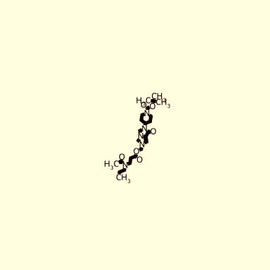 CCCN(CCC(=O)OCN1C=C2C(=O)N(C3CCN(C(=O)OC(C)(C)C)CC3)CN2C1)C(C)=O